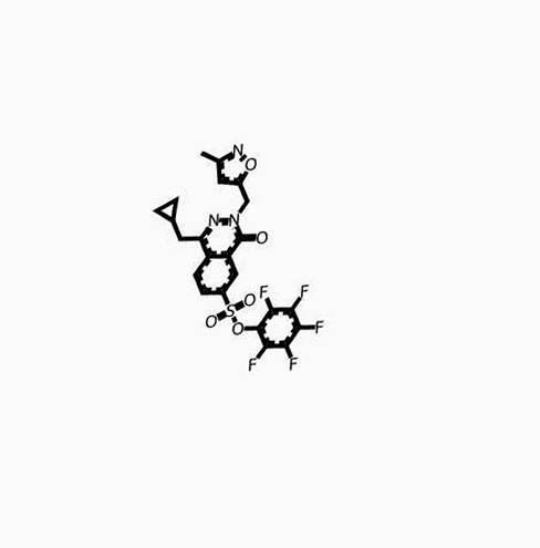 Cc1cc(Cn2nc(CC3CC3)c3ccc(S(=O)(=O)Oc4c(F)c(F)c(F)c(F)c4F)cc3c2=O)on1